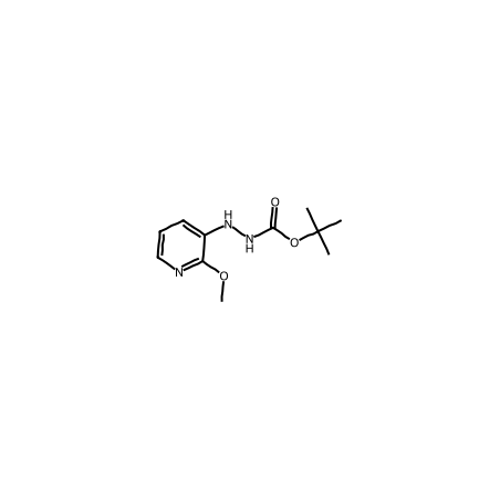 COc1ncccc1NNC(=O)OC(C)(C)C